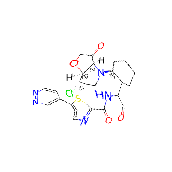 O=CC(NC(=O)c1ncc(-c2ccnnc2)s1)C1CCCC[C@@H]1N1C[C@H](Cl)[C@H]2OCC(=O)[C@H]21